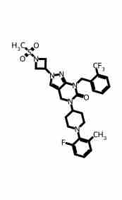 Cc1cccc(F)c1N1CCC(N2Cc3cn(C4CN(S(C)(=O)=O)C4)nc3N(Cc3ccccc3C(F)(F)F)C2=O)CC1